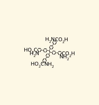 Nc1cc(-c2ccc(C(=C(c3ccc(-c4ccc(C(=O)O)c(N)c4)cc3)c3ccc(-c4ccc(C(=O)O)c(N)c4)cc3)c3ccc(-c4ccc(C(=O)O)c(N)c4)cc3)cc2)ccc1C(=O)O